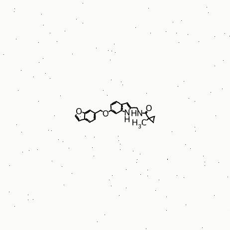 CC1(C(=O)NCc2cc3ccc(OCc4ccc5ccoc5c4)cc3[nH]2)CC1